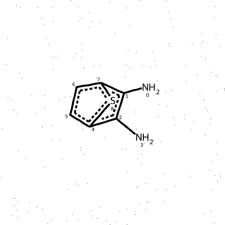 Nc1c(N)c2ccc1s2